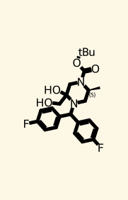 C[C@H]1CN(C(c2ccc(F)cc2)c2ccc(F)cc2)C(O)(CO)CN1C(=O)OC(C)(C)C